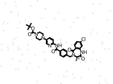 C[C@@H]1C(=O)Nc2cc(Cl)ccc2C(=O)N1Cc1ccc(C(=O)Nc2ccc(N3CCN(C(=O)OC(C)(C)C)CC3)cn2)cc1